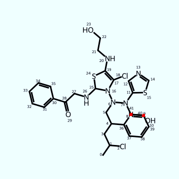 CC(Cl)CC(CN(N(CCO)c1cncs1)N1C(Cl)=C(NCCO)SC1NCC(=O)c1ccccc1)c1ccccn1